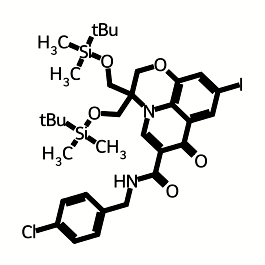 CC(C)(C)[Si](C)(C)OCC1(CO[Si](C)(C)C(C)(C)C)COc2cc(I)cc3c(=O)c(C(=O)NCc4ccc(Cl)cc4)cn1c23